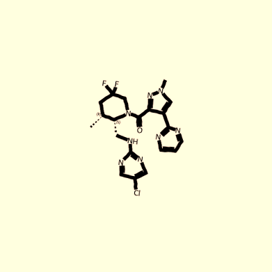 C[C@@H]1CC(F)(F)CN(C(=O)c2nn(C)cc2-c2ncccn2)[C@@H]1CNc1ncc(Cl)cn1